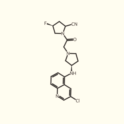 N#CC1C[C@H](F)CN1C(=O)CN1CC[C@@H](Nc2cccc3ncc(Cl)cc23)C1